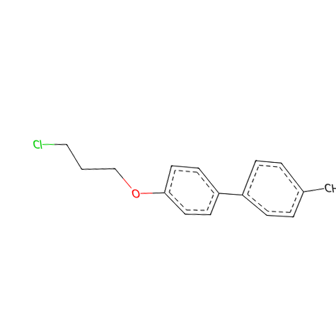 O=Cc1ccc(-c2ccc(OCCCCl)cc2)cc1